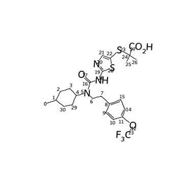 CC1CCC(N(CCc2ccc(OC(F)(F)F)cc2)C(=O)Nc2ncc(SC(C)(C)C(=O)O)s2)CC1